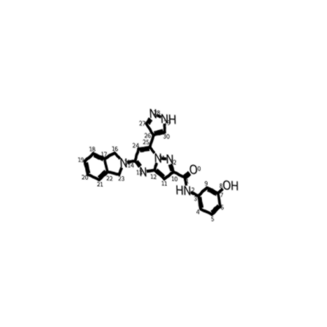 O=C(Nc1cccc(O)c1)c1cc2nc(N3Cc4ccccc4C3)cc(-c3cn[nH]c3)n2n1